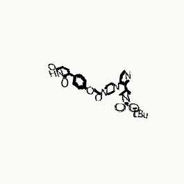 CC(C)(C)OC(=O)N1CC(c2cnccc2N2CCN(C(=O)COc3ccc(C4CCC(=O)NC4=O)cc3)CC2)C1